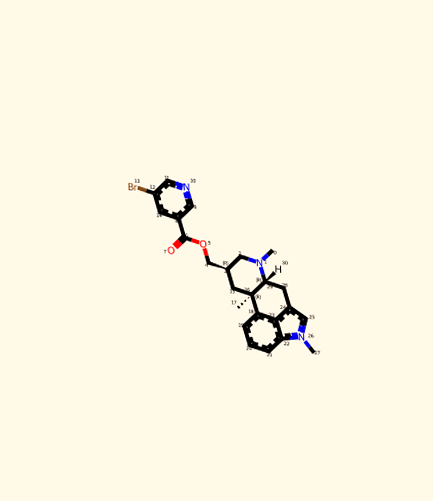 CN1C[C@H](COC(=O)c2cncc(Br)c2)C[C@]2(C)c3cccc4c3c(cn4C)C[C@@H]12